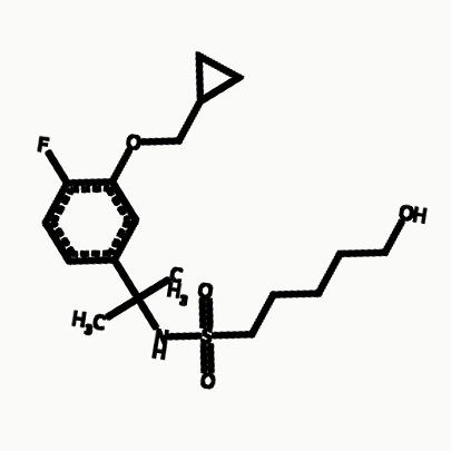 CC(C)(NS(=O)(=O)CCCCCO)c1ccc(F)c(OCC2CC2)c1